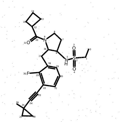 CCS(=O)(=O)NC1CCN(C(=O)C2CCC2)C1Cc1cccc(C#CC2(C)CC2)c1F